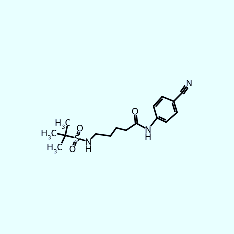 CC(C)(C)S(=O)(=O)NCCCCC(=O)Nc1ccc(C#N)cc1